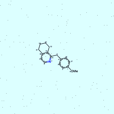 COc1ccc(Cc2nccc3c2CCCC3)cc1